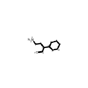 NCCC([C]=O)C1CCCCC1